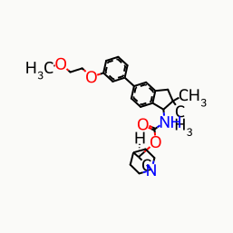 COCCOc1cccc(-c2ccc3c(c2)CC(C)(C)C3NC(=O)O[C@H]2CN3CCC2CC3)c1